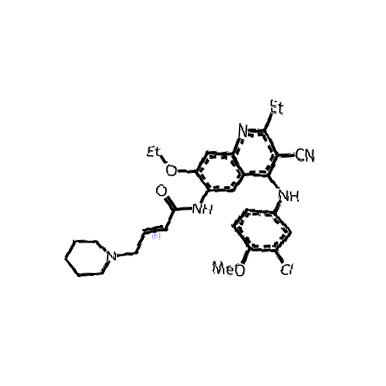 CCOc1cc2nc(CC)c(C#N)c(Nc3ccc(OC)c(Cl)c3)c2cc1NC(=O)/C=C/CN1CCCCC1